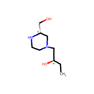 CC[C@@H](O)CN1CCN[C@H](CO)C1